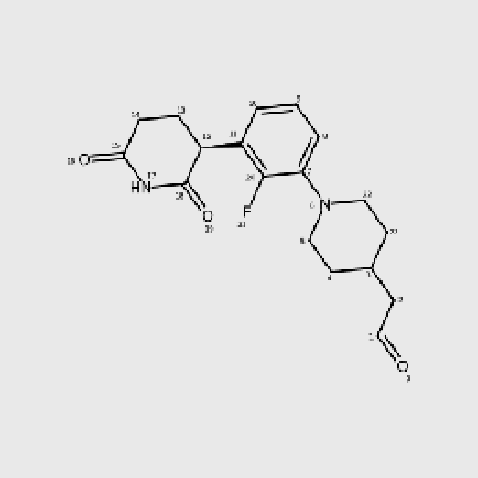 O=CCC1CCN(c2cccc([C@@H]3CCC(=O)NC3=O)c2F)CC1